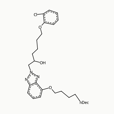 CCCCCCCCCCCCCCOc1cccc2nn(CC(O)CCCCOc3ccccc3Cl)nc12